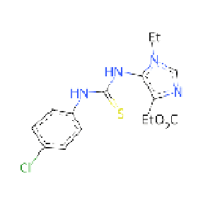 CCOC(=O)c1ncn(CC)c1NC(=S)Nc1ccc(Cl)cc1